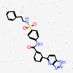 O=C(Nc1ccc(S(=O)(=O)NCCc2ccccc2)cc1)c1cccc(-c2ccc3[nH]nnc3n2)c1